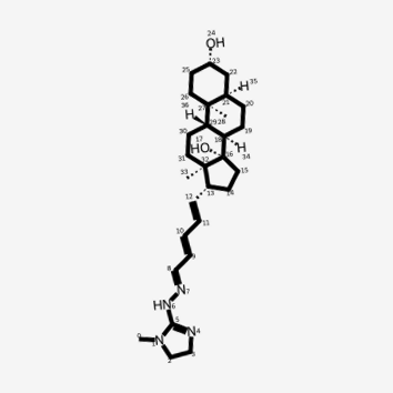 CN1CCN=C1N/N=C/C=C/C=C/[C@H]1CC[C@]2(O)[C@@H]3CC[C@@H]4C[C@@H](O)CC[C@]4(C)[C@H]3CC[C@]12C